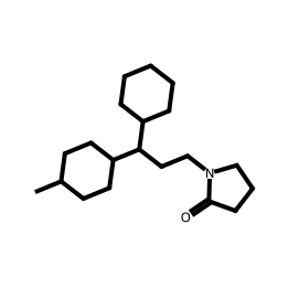 CC1CCC(C(CCN2CCCC2=O)C2CCCCC2)CC1